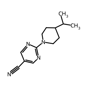 CC(C)C1CCN(c2ncc(C#N)cn2)CC1